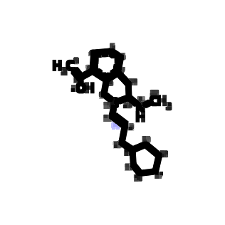 C=C(O)c1cccc2c1CB(/C=C/CC1CCCCC1)C(NC)C2